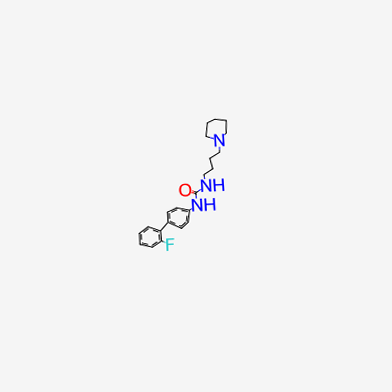 O=C(NCCCCN1CCCCC1)Nc1ccc(-c2ccccc2F)cc1